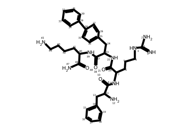 N=C(N)NCCCC(NC(=O)C(N)Cc1ccccc1)C(=O)NC(Cc1ccc(-c2ccccc2)cc1)C(=O)NC(CCCCN)C(N)=O